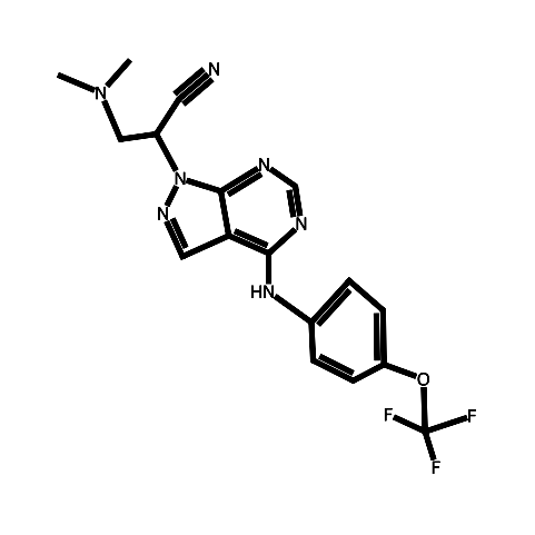 CN(C)CC(C#N)n1ncc2c(Nc3ccc(OC(F)(F)F)cc3)ncnc21